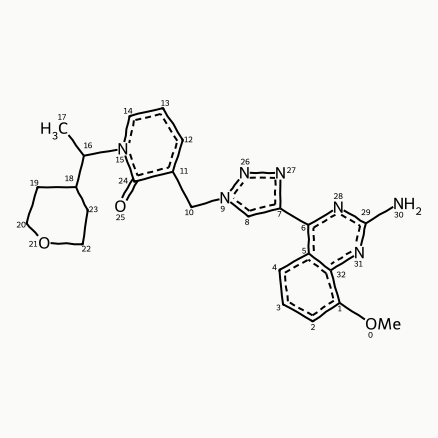 COc1cccc2c(-c3cn(Cc4cccn(C(C)C5CCOCC5)c4=O)nn3)nc(N)nc12